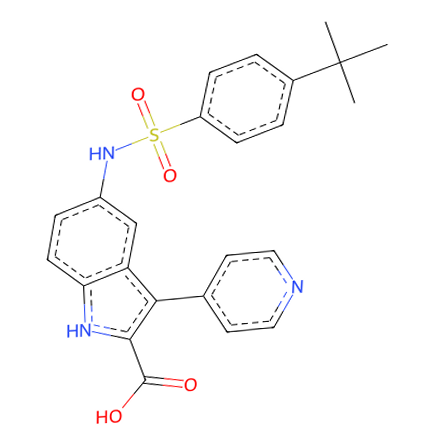 CC(C)(C)c1ccc(S(=O)(=O)Nc2ccc3[nH]c(C(=O)O)c(-c4ccncc4)c3c2)cc1